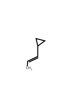 C/[C]=C/C1CC1